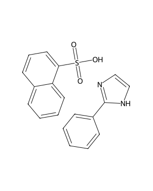 O=S(=O)(O)c1cccc2ccccc12.c1ccc(-c2ncc[nH]2)cc1